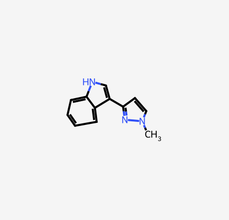 Cn1ccc(-c2c[nH]c3ccccc23)n1